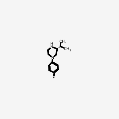 CC(C)[C@@H]1CN(c2ccc(F)cc2)CCN1